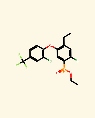 CCO[PH](=O)c1cc(Oc2ccc(C(F)(F)F)cc2Cl)c(CC)cc1Cl